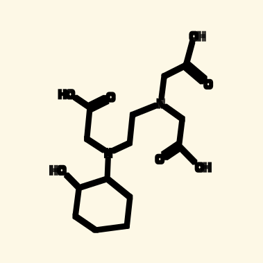 O=C(O)CN(CCN(CC(=O)O)C1CCCCC1O)CC(=O)O